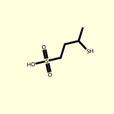 [CH2]C(S)CCS(=O)(=O)O